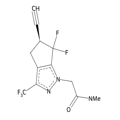 C#C[C@@H]1Cc2c(C(F)(F)F)nn(CC(=O)NC)c2C1(F)F